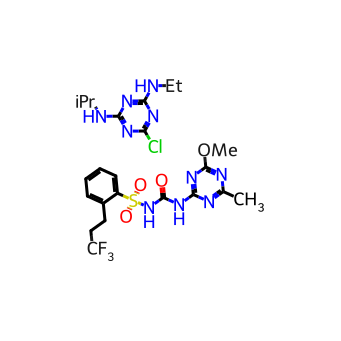 CCNc1nc(Cl)nc(NC(C)C)n1.COc1nc(C)nc(NC(=O)NS(=O)(=O)c2ccccc2CCC(F)(F)F)n1